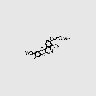 COCCOc1ccc2c(Oc3cc(O)c(C)cc3F)ccnc2c1C#N